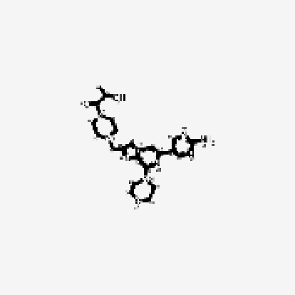 CC(O)C(=O)N1CCN(Cc2cn3cc(-c4cnc(N)nc4)nc(N4CCOCC4)c3n2)CC1